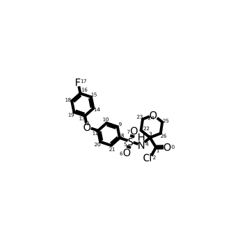 O=C(Cl)C1(NS(=O)(=O)c2ccc(Oc3ccc(F)cc3)cc2)CCOCC1